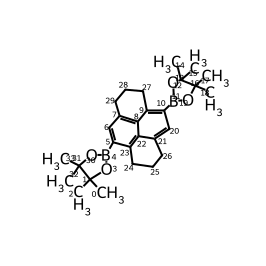 CC1(C)OB(c2cc3c4c(c(B5OC(C)(C)C(C)(C)O5)cc5c4c2CCC5)CCC3)OC1(C)C